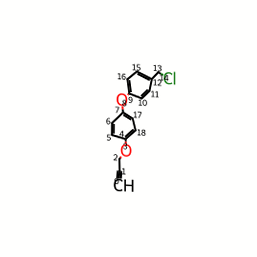 C#CCOc1ccc(Oc2ccc(CCl)cc2)cc1